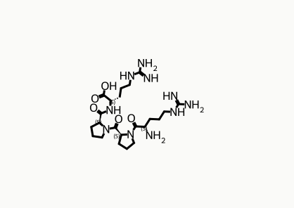 N=C(N)NCCC[C@H](NC(=O)[C@@H]1CCCN1C(=O)[C@@H]1CCCN1C(=O)[C@@H](N)CCCNC(=N)N)C(=O)O